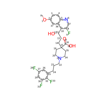 COc1ccc2ncc(F)c([C@@H](O)CCC3(C(=O)O)CCN(CCCc4cc(F)cc(F)c4F)CC3)c2c1